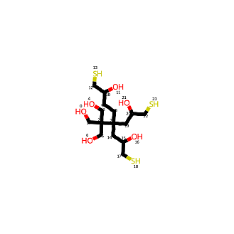 OCC(CO)(CO)C(CCC(O)CS)(CC(O)CS)CC(O)CS